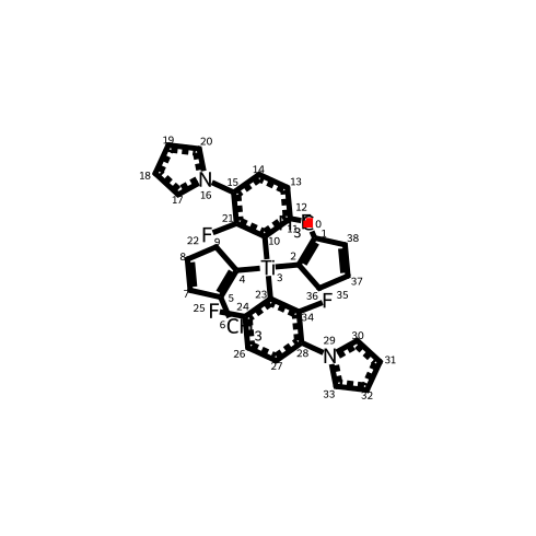 CC1=[C]([Ti]([C]2=C(C)C=CC2)([c]2c(F)ccc(-n3cccc3)c2F)[c]2c(F)ccc(-n3cccc3)c2F)CC=C1